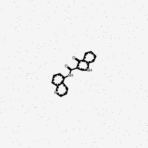 O=C(Nc1cccc2ncccc12)c1c[nH]c2ccccc2c1=O